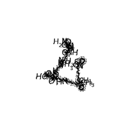 CC1(C)C(/C=C/C=C/C=C/C=C2/N(CCCCCCNCCCCNC(=O)[C@H](CC(=O)O)NC(=O)CCCCn3cc(CCCC(=O)Nc4nnc(S(N)(=O)=O)s4)nn3)c3ccccc3C2(C)C)=Nc2ccccc21